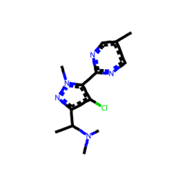 Cc1cnc(-c2c(Cl)c(C(C)N(C)C)nn2C)nc1